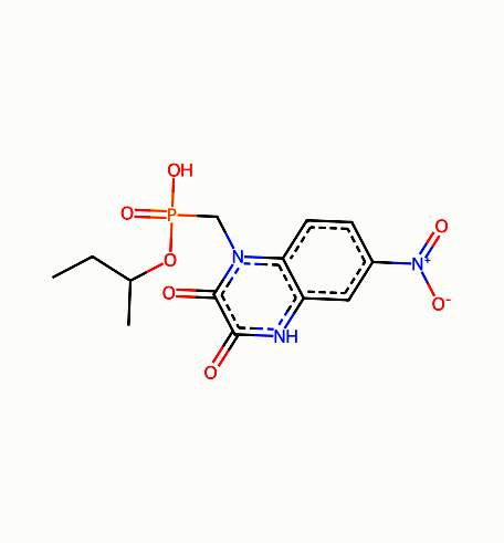 CCC(C)OP(=O)(O)Cn1c(=O)c(=O)[nH]c2cc([N+](=O)[O-])ccc21